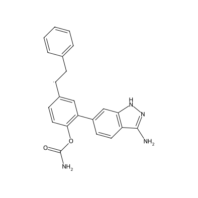 NC(=O)Oc1ccc([CH]Cc2ccccc2)cc1-c1ccc2c(N)n[nH]c2c1